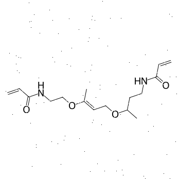 C=CC(=O)NCCO/C(C)=C/COC(C)CCNC(=O)C=C